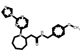 COc1ccc(CNC(=O)CC2CCCCCN2c2ccnc(-n3ccnc3)n2)cc1